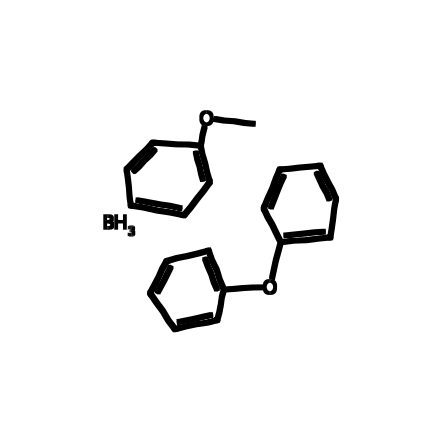 B.COc1ccccc1.c1ccc(Oc2ccccc2)cc1